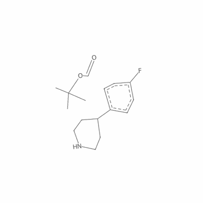 CC(C)(C)OC=O.Fc1ccc(C2CCNCC2)cc1